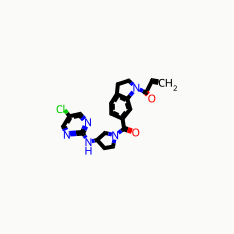 C=CC(=O)N1CCc2ccc(C(=O)N3CCC(Nc4ncc(Cl)cn4)C3)cc21